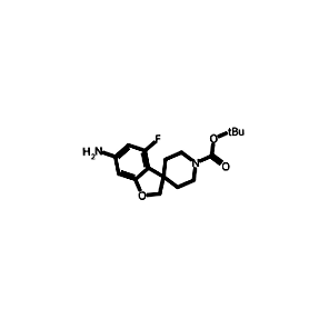 CC(C)(C)OC(=O)N1CCC2(CC1)COc1cc(N)cc(F)c12